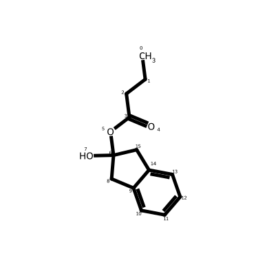 CCCC(=O)OC1(O)Cc2ccccc2C1